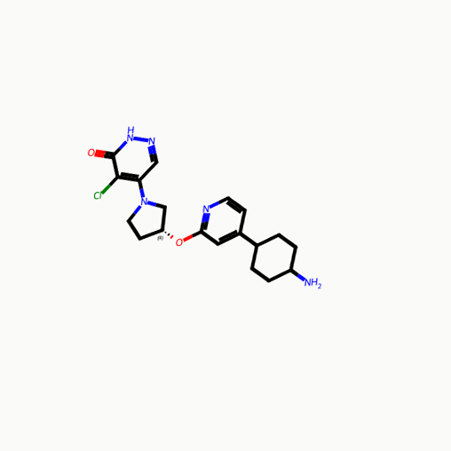 NC1CCC(c2ccnc(O[C@@H]3CCN(c4cn[nH]c(=O)c4Cl)C3)c2)CC1